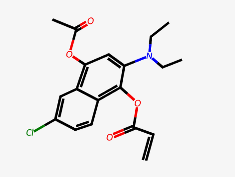 C=CC(=O)Oc1c(N(CC)CC)cc(OC(C)=O)c2cc(Cl)ccc12